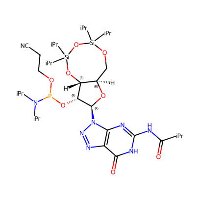 CC(C)C(=O)Nc1nc2c(nnn2[C@@H]2O[C@@H]3CO[Si](C(C)C)(C(C)C)O[Si](C(C)C)(C(C)C)O[C@H]3[C@H]2OP(OCCC#N)N(C(C)C)C(C)C)c(=O)[nH]1